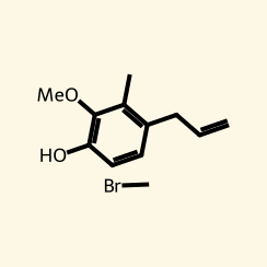 C=CCc1ccc(O)c(OC)c1C.CBr